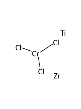 [Cl][Cr]([Cl])[Cl].[Ti].[Zr]